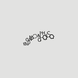 Cc1ccccc1-c1ccc(C(=O)N(C2CC2)C2CCc3nn(C(=O)OC(C)(C)C)cc3C2)cc1